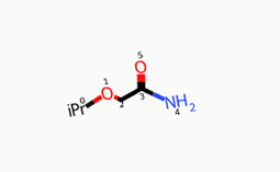 CC(C)OCC(N)=O